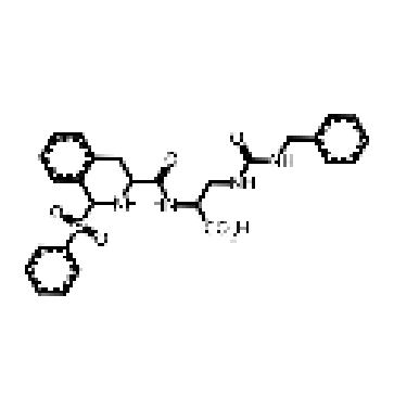 O=C(NCc1ccccc1)NCC(NC(=O)C1Cc2ccccc2C(S(=O)(=O)c2ccccc2)N1)C(=O)O